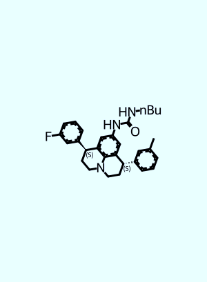 CCCCNC(=O)Nc1cc2c3c(c1)[C@H](c1cccc(F)c1)CCN3CC[C@H]2c1cccc(C)c1